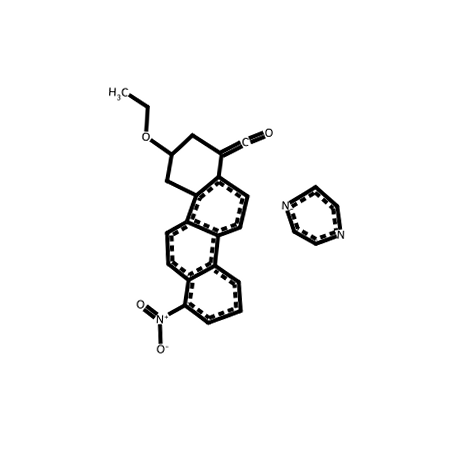 CCOC1CC(=C=O)c2ccc3c(ccc4c([N+](=O)[O-])cccc43)c2C1.c1cnccn1